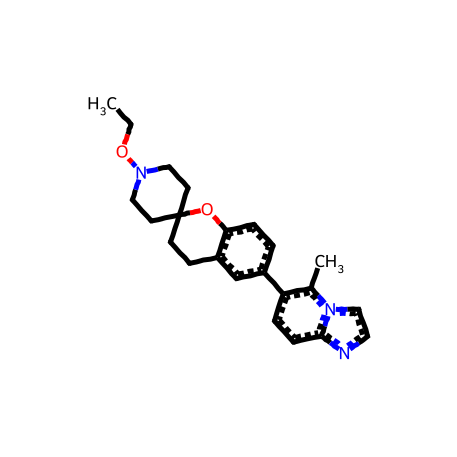 CCON1CCC2(CCc3cc(-c4ccc5nccn5c4C)ccc3O2)CC1